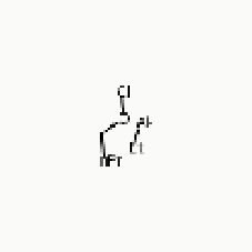 CCCCOCl.C[CH2][Al]